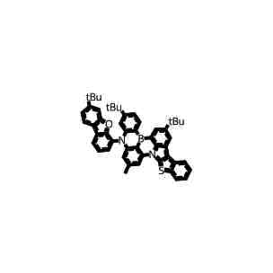 Cc1cc2c3c(c1)-n1c4sc5ccccc5c4c4cc(C(C)(C)C)cc(c41)B3c1ccc(C(C)(C)C)cc1N2c1cccc2c1oc1cc(C(C)(C)C)ccc12